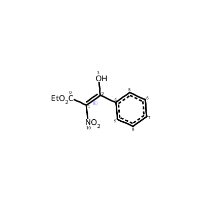 CCOC(=O)/C(=C(\O)c1ccccc1)[N+](=O)[O-]